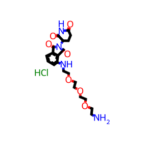 Cl.NCCOCCOCCOCCNc1cccc2c1C(=O)N(C1CCC(=O)NC1=O)C2=O